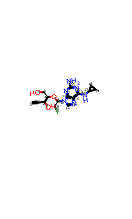 C#CC(O)[C@@H](CO)O[C@H](CF)n1cnc2c(NC3CC3)nc(N)nc21